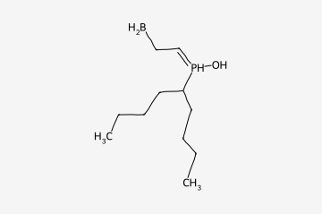 BC/C=[PH](/O)C(CCCC)CCCC